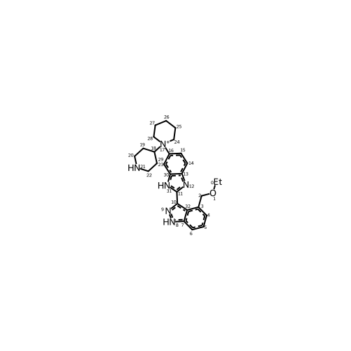 CCOCc1cccc2[nH]nc(-c3nc4ccc([N+]5(C6CCNCC6)CCCCC5)cc4[nH]3)c12